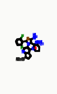 CO[C@H]1CCc2c1ncc(N1C(C(N)=O)=C(N)SC1c1c(F)cccc1F)c2N1CCC[C@H](N)C1